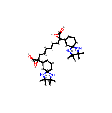 CC1(C)NC2(CCCC(C3(CCCCCCC4(C5CCCC6(C5)NC(C)(C)C(C)(C)N6)OC4=O)OC3=O)C2)NC1(C)C